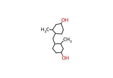 CC1CC(O)CCC1CC1CCC(O)CC1C